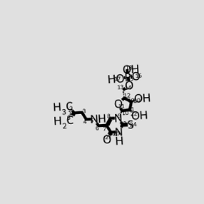 C=C(C)CCNCc1cn([C@@H]2O[C@H](COP(=O)(O)O)[C@@H](O)[C@H]2O)c(=S)[nH]c1=O